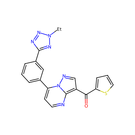 CCn1nnc(-c2cccc(-c3ccnc4c(C(=O)c5cccs5)cnn34)c2)n1